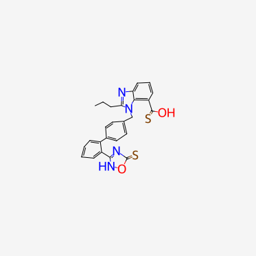 CCCc1nc2cccc(C(O)=S)c2n1Cc1ccc(-c2ccccc2-c2nc(=S)o[nH]2)cc1